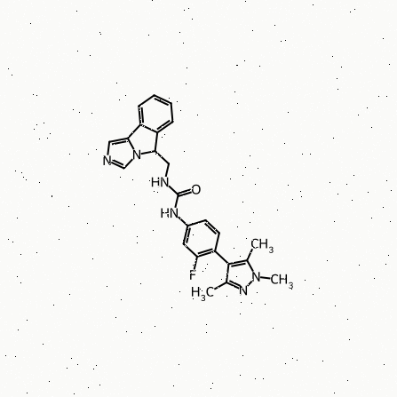 Cc1nn(C)c(C)c1-c1ccc(NC(=O)NCC2c3ccccc3-c3cncn32)cc1F